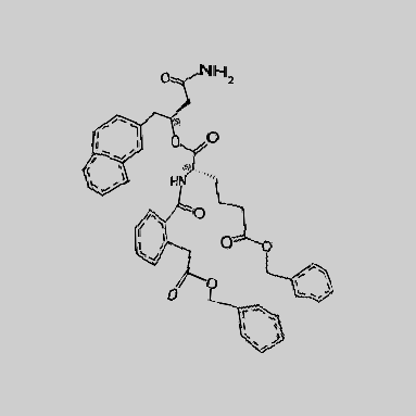 NC(=O)C[C@H](Cc1ccc2ccccc2c1)OC(=O)[C@H](CCCC(=O)OCc1ccccc1)NC(=O)c1ccccc1CC(=O)OCc1ccccc1